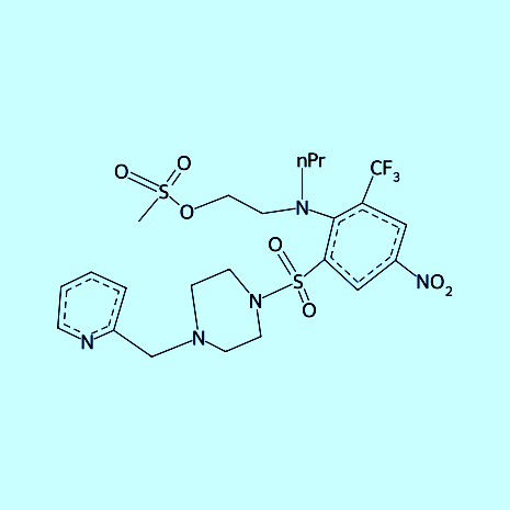 CCCN(CCOS(C)(=O)=O)c1c(C(F)(F)F)cc([N+](=O)[O-])cc1S(=O)(=O)N1CCN(Cc2ccccn2)CC1